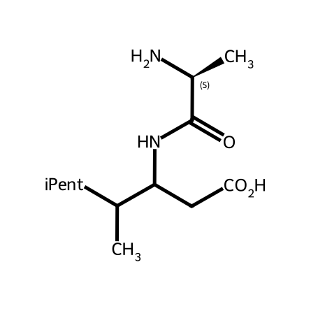 CCCC(C)C(C)C(CC(=O)O)NC(=O)[C@H](C)N